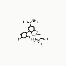 CN(N)C(=N)CN1CCc2c(-c3ccc(F)cc3F)cc(C(N)O)nc2C1